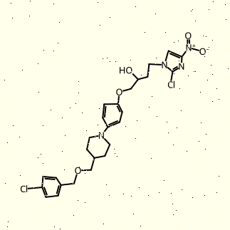 O=[N+]([O-])c1cn(CCC(O)COc2ccc(N3CCC(COCc4ccc(Cl)cc4)CC3)cc2)c(Cl)n1